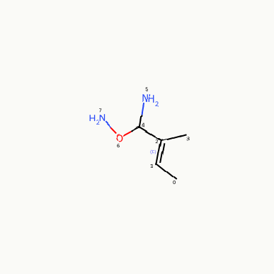 C/C=C(\C)C(N)ON